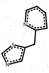 c1ccc(Cc2cncs2)nc1